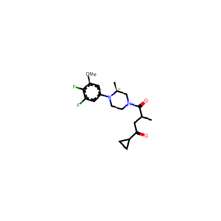 COc1cc(N2CCN(C(=O)C(C)CC(=O)C3CC3)C[C@@H]2C)cc(F)c1F